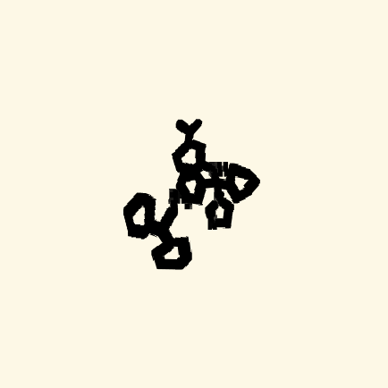 BC=C(c1ccccc1)c1ccccc1.CC(C)c1cccc([SiH2]C(c2ccccc2)(c2ccccc2)n2ccnc2)c1